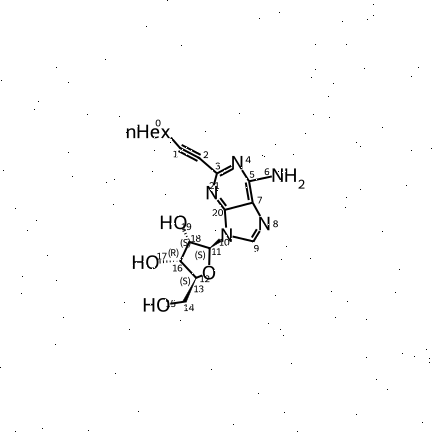 CCCCCCC#Cc1nc(N)c2ncn([C@H]3O[C@@H](CO)[C@H](O)[C@@H]3O)c2n1